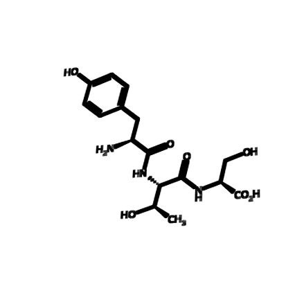 C[C@@H](O)[C@H](NC(=O)[C@@H](N)Cc1ccc(O)cc1)C(=O)N[C@@H](CO)C(=O)O